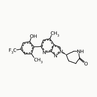 Cc1cc(C(F)(F)F)cc(O)c1-c1cc(C)c2cn([C@@H]3CCC(=O)NC3)nc2n1